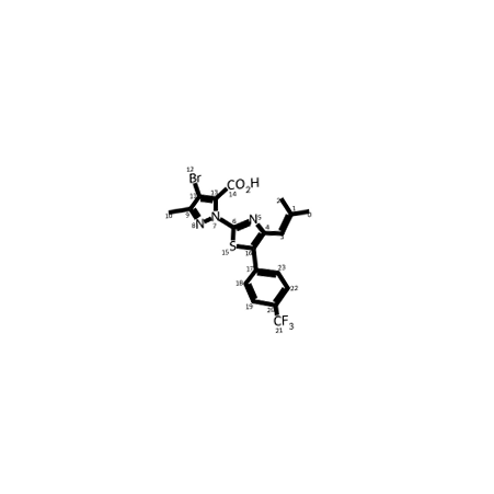 CC(C)=Cc1nc(-n2nc(C)c(Br)c2C(=O)O)sc1-c1ccc(C(F)(F)F)cc1